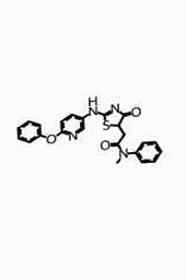 CN(C(=O)CC1SC(Nc2ccc(Oc3ccccc3)nc2)=NC1=O)c1ccccc1